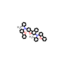 Cc1ccccc1N(c1ccc2c(c1)oc1cc(N(c3ccccc3C)c3cccc4c3oc3ccccc34)c3ccccc3c12)c1cccc2c1oc1ccccc12